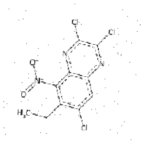 CCc1c(Cl)cc2nc(Cl)c(Cl)nc2c1[N+](=O)[O-]